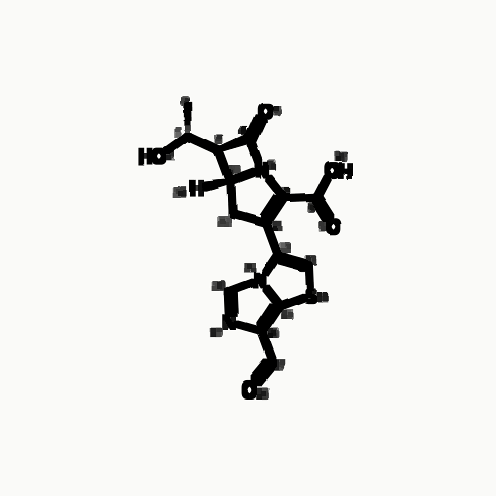 C[C@@H](O)[C@H]1C(=O)N2C(C(=O)O)=C(c3csc4c(C=O)ncn34)C[C@H]12